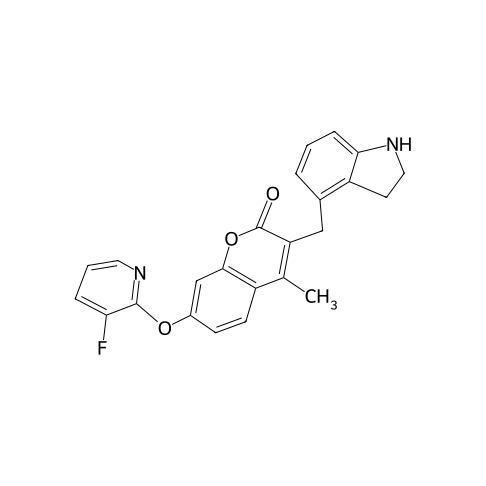 Cc1c(Cc2cccc3c2CCN3)c(=O)oc2cc(Oc3ncccc3F)ccc12